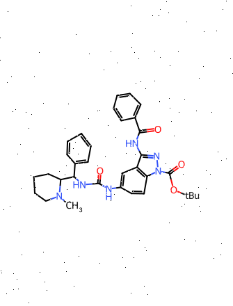 CN1CCCCC1C(NC(=O)Nc1ccc2c(c1)c(NC(=O)c1ccccc1)nn2C(=O)OC(C)(C)C)c1ccccc1